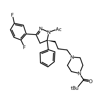 CC(=O)N1N=C(c2cc(F)ccc2F)C[C@@]1(CCCN1CCN(C(=O)C(C)(C)C)CC1)c1ccccc1